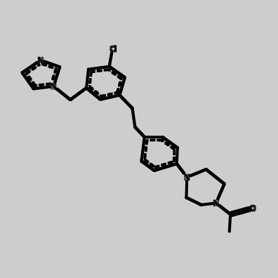 CC(=O)N1CCN(c2ccc(CCc3cc(Cl)cc(Cn4ccnc4)c3)cc2)CC1